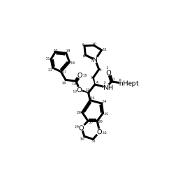 CCCCCCCC(=O)N[C@H](CCN1CCCC1)[C@H](OC(=O)Cc1ccccc1)c1ccc2c(c1)OCCO2